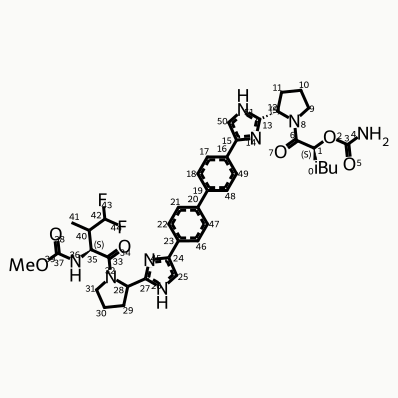 CCC(C)[C@H](OC(N)=O)C(=O)N1CCC[C@H]1c1nc(-c2ccc(-c3ccc(-c4c[nH]c(C5CCCN5C(=O)[C@@H](NC(=O)OC)C(C)C(F)F)n4)cc3)cc2)c[nH]1